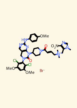 COc1ccc(Nc2ncc3c(n2)N(C2CCN(C(=O)/C=C/C[N+](C)(C)Cc4c([N+](=O)[O-])ncn4C)CC2)C(=O)N(c2c(Cl)c(OC)cc(OC)c2Cl)C3)cc1.[Br-]